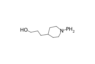 OCCCC1CCN(P)CC1